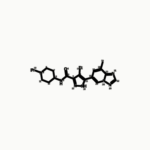 CCc1c(C(=O)NC2CCN(C(C)C)CC2)n[nH]c1-c1cc(C)c2ncnn2c1